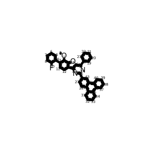 COc1c(-c2ccccc2F)ccc2c1oc1c(-c3ccccc3)nc(-c3ccc4c5ccccc5c5ccccc5c4c3)nc12